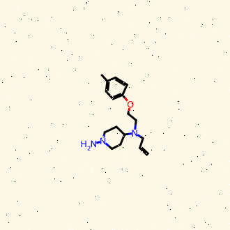 C=CCN(CCOc1ccc(C)cc1)C1CCN(N)CC1